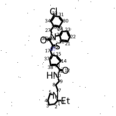 CCC1CCCCN1CCCNC(=O)c1ccc(/C=C2\Sc3ccccc3N(Cc3cccc(Cl)c3)C2=O)cc1